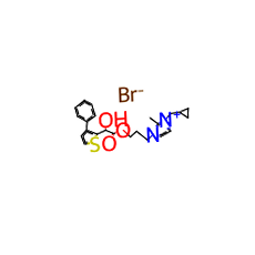 Cc1n(CCCOC(=O)C(O)c2sccc2-c2ccccc2)cc[n+]1CC1CC1.[Br-]